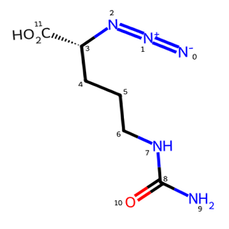 [N-]=[N+]=N[C@H](CCCNC(N)=O)C(=O)O